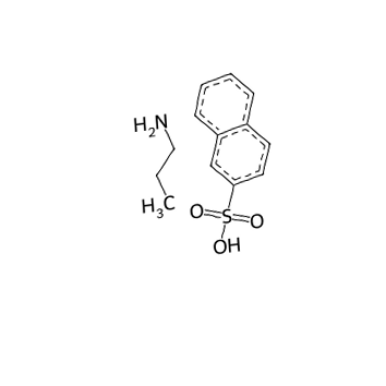 CCCN.O=S(=O)(O)c1ccc2ccccc2c1